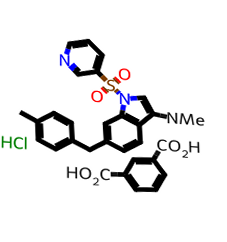 CNc1cn(S(=O)(=O)c2cccnc2)c2cc(Cc3ccc(C)cc3)ccc12.Cl.O=C(O)c1cccc(C(=O)O)c1